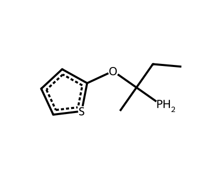 CCC(C)(P)Oc1cccs1